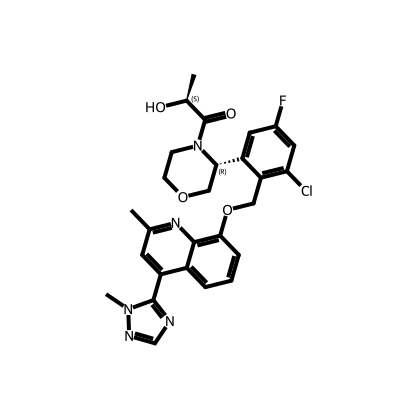 Cc1cc(-c2ncnn2C)c2cccc(OCc3c(Cl)cc(F)cc3[C@@H]3COCCN3C(=O)[C@H](C)O)c2n1